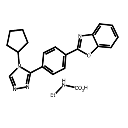 CCNC(=O)O.c1ccc2oc(-c3ccc(-c4nncn4C4CCCC4)cc3)nc2c1